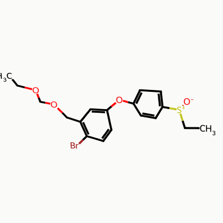 CCOCOCc1cc(Oc2ccc([S+]([O-])CC)cc2)ccc1Br